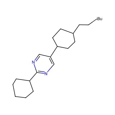 CCC(C)CCC1CCC(c2cnc(C3CCCCC3)nc2)CC1